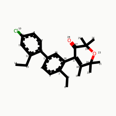 CCc1ccc(-c2ccc(Cl)cc2CC)cc1C1=C(C)C(C)(C)OC(C)(C)C1=O